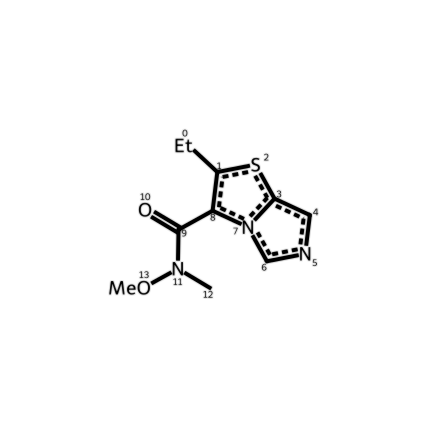 CCc1sc2cncn2c1C(=O)N(C)OC